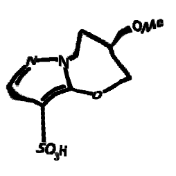 CO[C@H]1COc2c(S(=O)(=O)O)cnn2C1